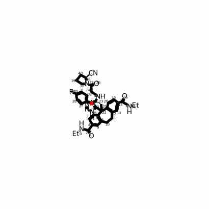 CCNC(=O)c1ccc2c(c1)CCc1cc(C(=O)NCC)ccc1C2(C[C@H](Cc1ccc(F)cc1)NCC(=O)N1CCC[C@H]1C#N)c1nnn[nH]1